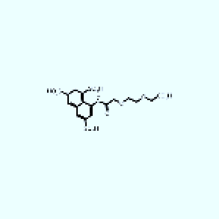 O=C(O)COCCOCC(=O)Nc1cc(S(=O)(=O)O)cc2c1=C(S(=O)(=O)O)CC(S(=O)(=O)O)C=2